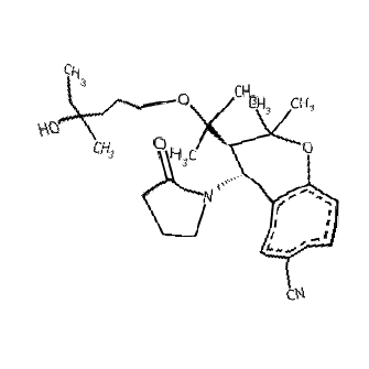 CC(C)(O)CCOC(C)(C)[C@@H]1[C@@H](N2CCCC2=O)c2cc(C#N)ccc2OC1(C)C